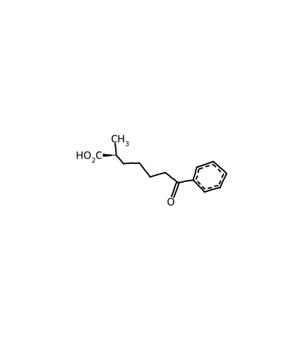 C[C@@H](CCCCC(=O)c1ccccc1)C(=O)O